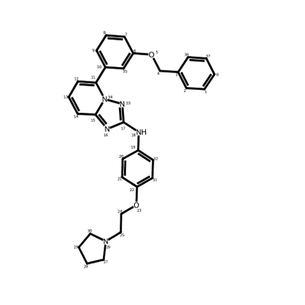 c1ccc(COc2cccc(-c3cccc4nc(Nc5ccc(OCCN6CCCC6)cc5)nn34)c2)cc1